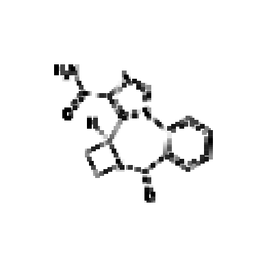 NC(=O)c1ncn2c1[C@@H]1CCN1C(=O)c1ccccc1-2